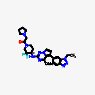 COc1nc(N[C@@H]2CCN(C(=O)CN3CCCC3)CC2(F)F)nn2ccc(-c3ccc4nnn(CC(F)(F)F)c4c3)c12